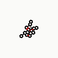 c1ccc(-c2cc3ccccc3cc2N(c2ccc3c(c2)C2(c4ccccc4-c4cccc5cccc2c45)c2cccc4c(-c5ccccc5)ccc-3c24)c2ccc3ccccc3c2)cc1